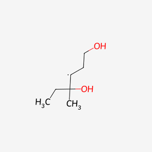 CCC(C)(O)[CH]CCO